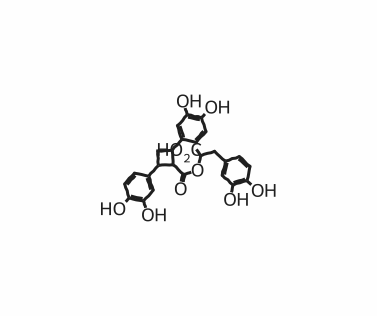 O=C(O)C(Cc1ccc(O)c(O)c1)OC(=O)C1C(c2ccc(O)c(O)c2)CC1c1ccc(O)c(O)c1